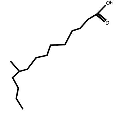 CCCCC(C)CCCCCCCCC(=O)O